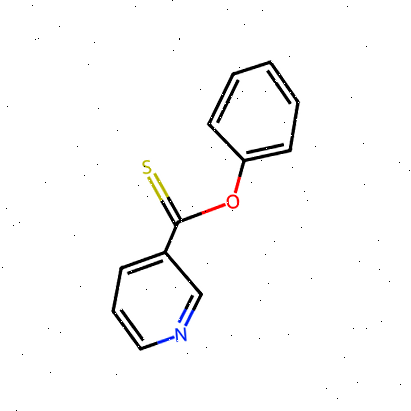 S=C(Oc1ccccc1)c1cccnc1